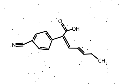 CCC=CC=C(C(=O)O)c1ccc(C#N)cc1